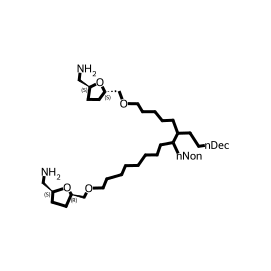 CCCCCCCCCCCCC(CCCCCOC[C@@H]1CC[C@@H](CN)O1)C(CCCCCCCCC)CCCCCCCCOC[C@H]1CC[C@@H](CN)O1